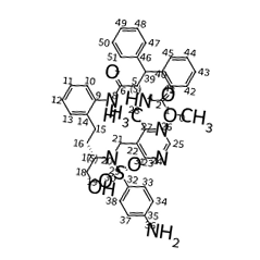 COC(=O)N[C@H](C(=O)Nc1ccccc1CC[C@@H](CO)N(Cc1cncnc1C)S(=O)(=O)c1ccc(N)cc1)C(c1ccccc1)c1ccccc1